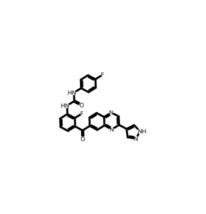 O=C(Nc1ccc(F)cc1)Nc1cccc(C(=O)c2ccc3ncc(-c4cn[nH]c4)nc3c2)c1F